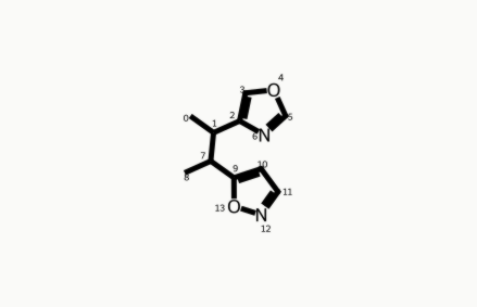 CC(c1cocn1)C(C)c1ccno1